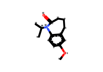 COc1ccc2c(c1)CCCC(=O)N2C(C)C